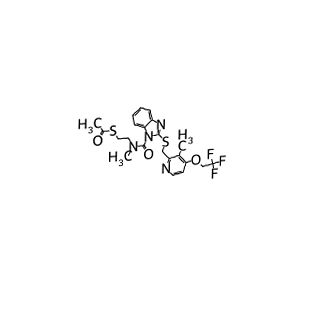 CC(=O)SCCN(C)C(=O)n1c(SCc2nccc(OCC(F)(F)F)c2C)nc2ccccc21